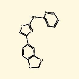 c1ccc(Nc2nc(-c3ccc4c(c3)OCO4)cs2)nc1